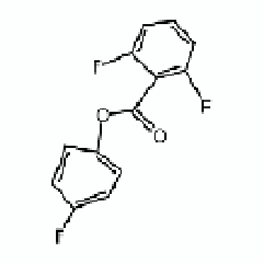 O=C(Oc1ccc(F)cc1)c1c(F)cccc1F